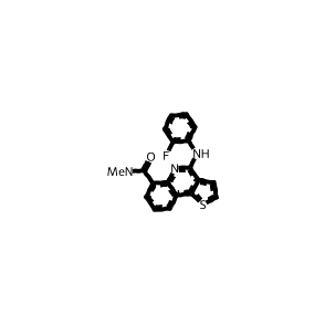 CNC(=O)c1cccc2c1nc(Nc1ccccc1F)c1ccsc12